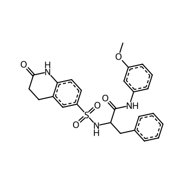 COc1cccc(NC(=O)C(Cc2ccccc2)NS(=O)(=O)c2ccc3c(c2)CCC(=O)N3)c1